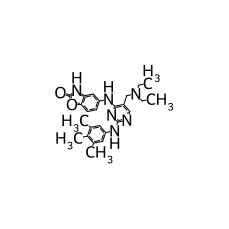 CCN(CC)Cc1cnc(Nc2cc(C)c(C)c(C)c2)nc1Nc1ccc2oc(=O)[nH]c2c1